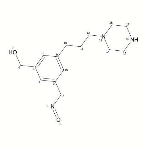 O=NCc1cc(CO)cc(CCCN2CCNCC2)c1